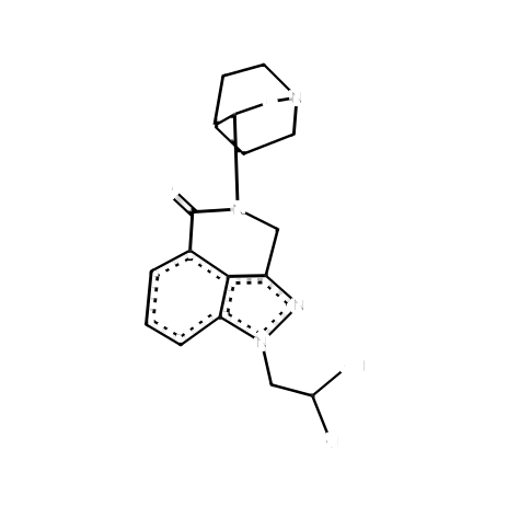 CC(C)Cn1nc2c3c(cccc31)C(=O)N(C1CN3CCC1CC3)C2